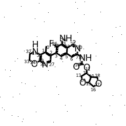 Cc1c(-c2cc3cc(NC(=O)OC4COC5COCC54)ncc3c(N)c2F)cnc2c1NCCO2